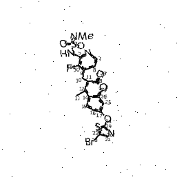 CNS(=O)(=O)Nc1nccc(Cc2c(C)c3ccc(Oc4ncc(Br)s4)cc3oc2=O)c1F